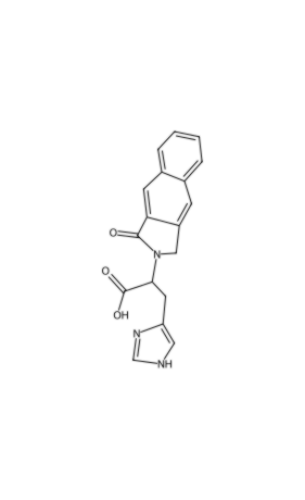 O=C(O)C(Cc1c[nH]cn1)N1Cc2cc3ccccc3cc2C1=O